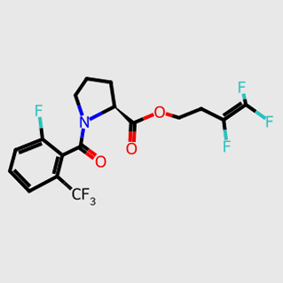 O=C(OCCC(F)=C(F)F)[C@@H]1CCCN1C(=O)c1c(F)cccc1C(F)(F)F